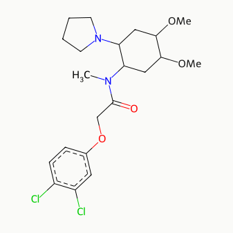 COC1CC(N2CCCC2)C(N(C)C(=O)COc2ccc(Cl)c(Cl)c2)CC1OC